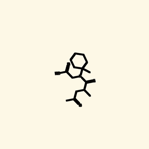 CC(=O)CC(C)C(=S)N(CC(=O)O)C1(C)CCCCC1